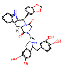 CN1CC(=O)N2[C@H](c3ccc4c(c3)OCO4)c3[nH]c4ccccc4c3C[C@@H]2C1=O.Oc1ccc(CC2NCCc3cc(O)c(O)cc32)cc1O